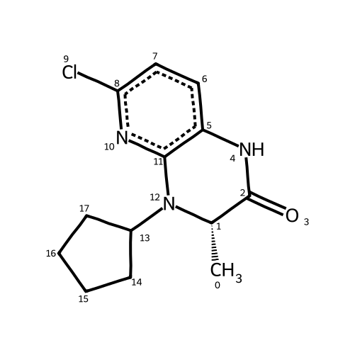 C[C@H]1C(=O)Nc2ccc(Cl)nc2N1C1CCCC1